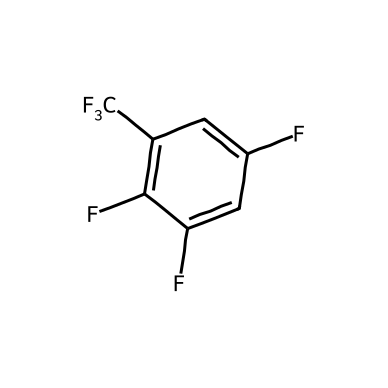 Fc1cc(F)c(F)c(C(F)(F)F)c1